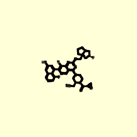 N#CC[C@H]1CN(c2nc(OC[C@@]34CCCN3C[C@H](F)C4)nc3c(F)c(-c4cc(O)cc5cccc(F)c45)ncc23)CCN1C(=O)[C@H]1CO1